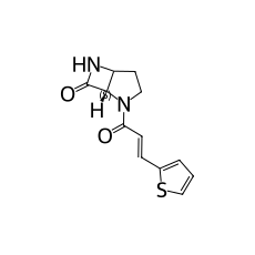 O=C1NC2CCN(C(=O)C=Cc3cccs3)[C@H]12